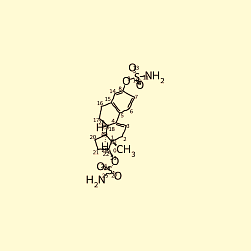 C[C@]12CC=C3c4ccc(OS(N)(=O)=O)cc4CC[C@H]3[C@@H]1CC[C@@H]2OS(N)(=O)=O